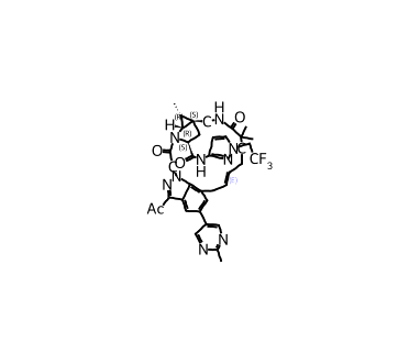 CC(=O)c1nn2c3c(cc(-c4cnc(C)nc4)cc13)C/C=C/CCC(C)(C)C(=O)NC[C@@]13C[C@@H](C(=O)Nc4ccn(CC(F)(F)F)n4)N(C(=O)C2)[C@@H]1[C@@H]3C